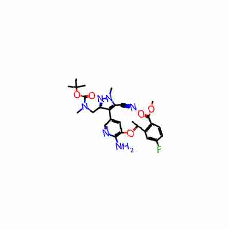 COC(=O)c1ccc(F)cc1C(C)Oc1cc(-c2c(CN(C)C(=O)OC(C)(C)C)nn(C)c2C#N)cnc1N